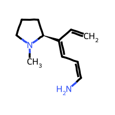 C=C/C(=C\C=C/N)[C@@H]1CCCN1C